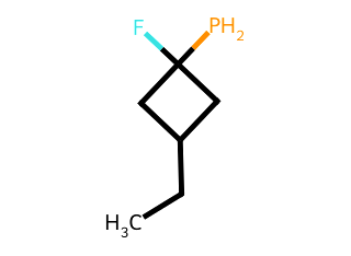 CCC1CC(F)(P)C1